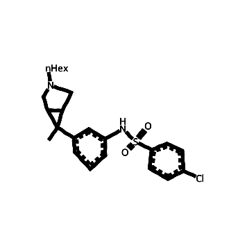 CCCCCCN1CC2C(C1)C2(C)c1cccc(NS(=O)(=O)c2ccc(Cl)cc2)c1